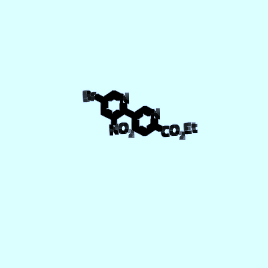 CCOC(=O)c1ccc(-c2ncc(Br)cc2[N+](=O)[O-])cn1